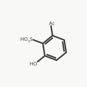 CC(=O)c1cccc(O)c1S(=O)(=O)O